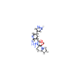 CCC(NC(=O)c1cc(-c2cnn(C)c2)cnc1N)C(=O)N1CCCC1